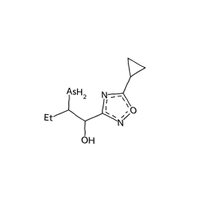 CCC([AsH2])C(O)c1noc(C2CC2)n1